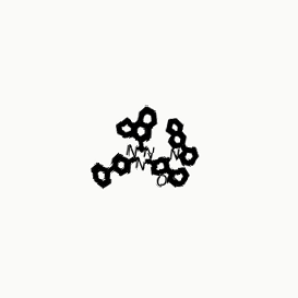 c1ccc(-c2ccc(-c3nc(-c4cc(-n5c6ccccc6c6cc7ccccc7cc65)c5c(c4)oc4ccccc45)nc(-c4cc5ccccc5c5ccccc45)n3)cc2)cc1